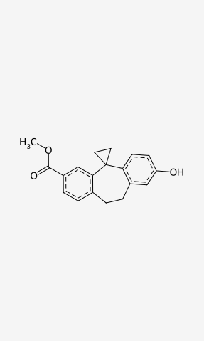 COC(=O)c1ccc2c(c1)C1(CC1)c1ccc(O)cc1CC2